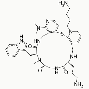 CN(C)c1nccc2c1CNC(=O)[C@H](Cc1c[nH]c3ccccc13)N(C)C(=O)CNC(=O)[C@H](CCCN)NCC1=C(S2)N(CCCCN)CC=C1